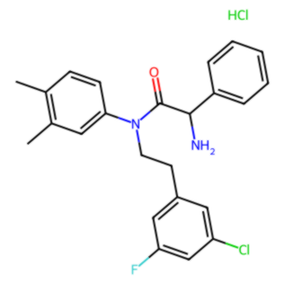 Cc1ccc(N(CCc2cc(F)cc(Cl)c2)C(=O)C(N)c2ccccc2)cc1C.Cl